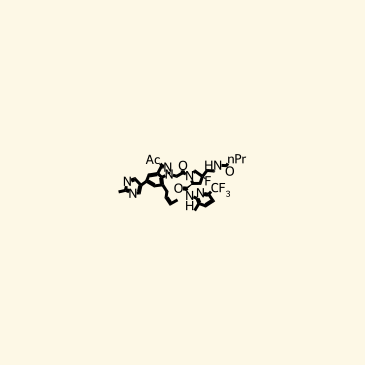 C/C=C\Cc1cc(-c2cnc(C)nc2)cc2c(C(C)=O)nn(CC(=O)N3C[C@@](F)(CCNC(=O)CCC)C[C@H]3C(=O)Nc3nc(C(F)(F)F)ccc3C)c12